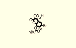 CCCCC(=O)Oc1c(Br)c(Br)cc2cc(C(=O)O)c(=O)oc12